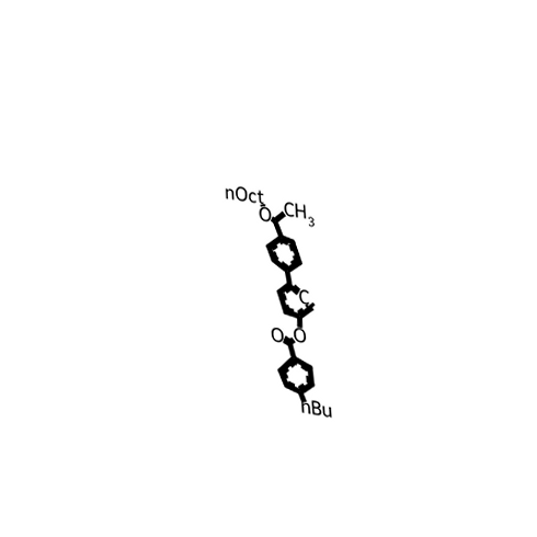 CCCCCCCCOC(C)c1ccc(-c2ccc(OC(=O)c3ccc(CCCC)cc3)cc2)cc1